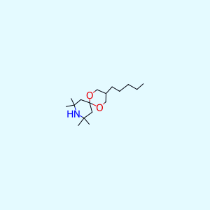 CCCCCC1COC2(CC(C)(C)NC(C)(C)C2)OC1